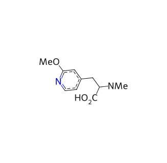 CNC(Cc1ccnc(OC)c1)C(=O)O